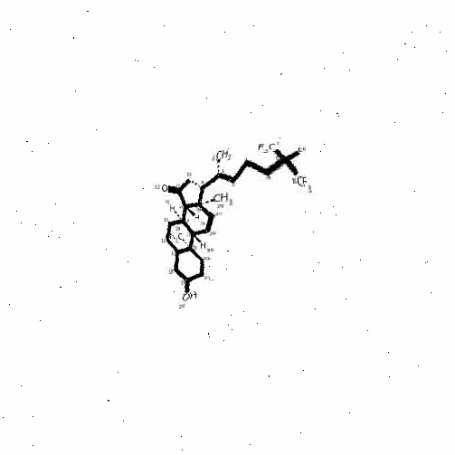 C[C@H](CCCC(F)(C(F)(F)F)C(F)(F)F)[C@H]1CC(=O)[C@H]2[C@@H]3CCC4CC(O)CC[C@]4(C)[C@H]3CC[C@]12C